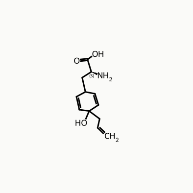 C=CCC1(O)C=CC(C[C@H](N)C(=O)O)C=C1